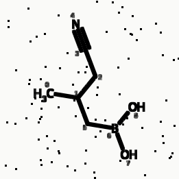 CC(CC#N)CB(O)O